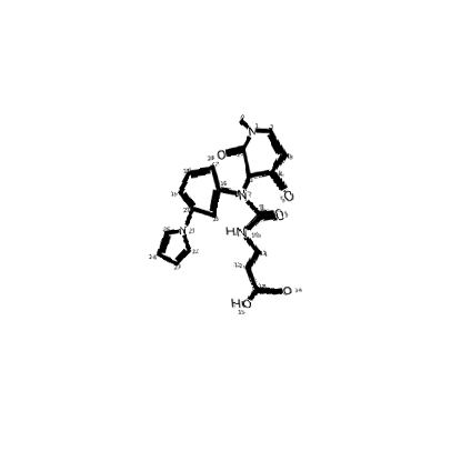 CN1C=CC(=O)C(N(C(=O)NCCC(=O)O)c2cccc(-n3cccc3)c2)C1=O